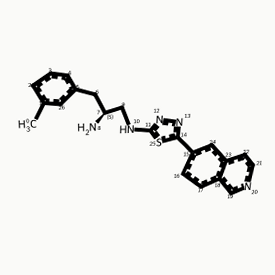 Cc1cccc(C[C@H](N)CNc2nnc(-c3ccc4cnccc4c3)s2)c1